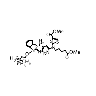 COC(=O)CCCCN(c1cc(C)c(/N=c2\sc3ccccc3n2COCC[Si](C)(C)C)nn1)c1nc(C(=O)OC)cs1